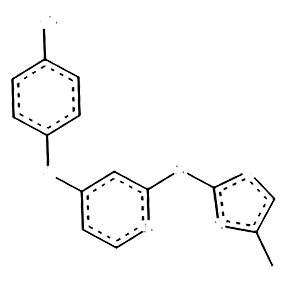 Cc1csc(Nc2cc(Oc3ccc(C#N)cc3)ccn2)n1